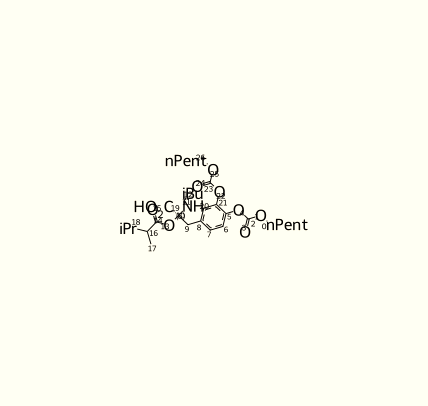 CCCCCOC(=O)Oc1ccc(C[C@](NC(C)CC)(OC(=O)C(C)C(C)C)C(=O)O)cc1OC(=O)OCCCCC